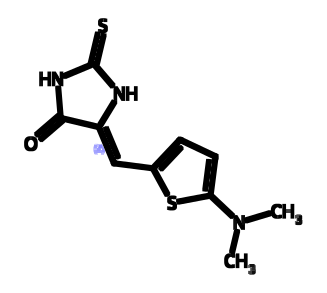 CN(C)c1ccc(/C=C2\NC(=S)NC2=O)s1